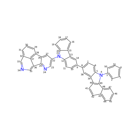 c1ccc(-n2c3ccc(-c4ccc5c(c4)c4ccccc4n5-c4cnc5c(c4)-c4cccc6cncc-5c46)cc3c3ccc4ccccc4c32)cc1